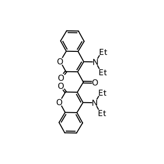 CCN(CC)c1c(C(=O)c2c(N(CC)CC)c3ccccc3oc2=O)c(=O)oc2ccccc12